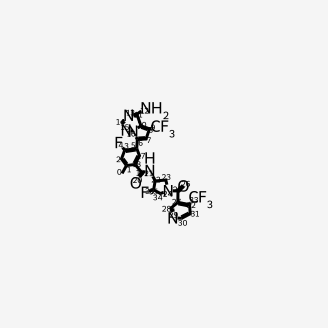 Cc1cc(F)c(-c2cc(C(F)(F)F)c3c(N)ncnn23)cc1C(=O)NC1CN(C(=O)c2cnccc2C(F)(F)F)CC1F